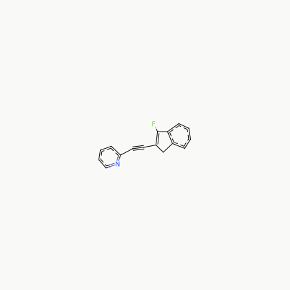 FC1=C(C#Cc2ccccn2)Cc2ccccc21